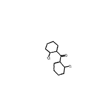 O=C(C1CCCCC1Cl)C1CCCCC1Cl